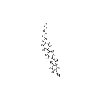 CCCCCCCCc1ccc(-c2ccc(C(=O)Oc3ccc(C#N)cc3)cc2)cc1